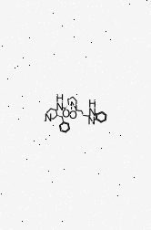 CN1CC[C@@H](NC(=O)[C@@H]2CCCN2C(=O)CCc2nc3ccccc3[nH]2)[C@@H](Cc2ccccc2)C1